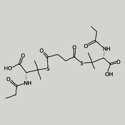 CCC(=O)N[C@H](C(=O)O)C(C)(C)SC(=O)CCC(=O)SC(C)(C)[C@H](NC(=O)CC)C(=O)O